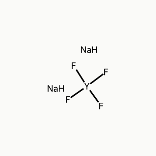 [F][Y]([F])([F])[F].[NaH].[NaH]